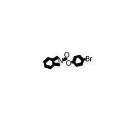 O=C(Oc1ccc(Br)cc1)n1cc2ccccc2c1